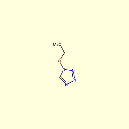 COCOn1[c]nnn1